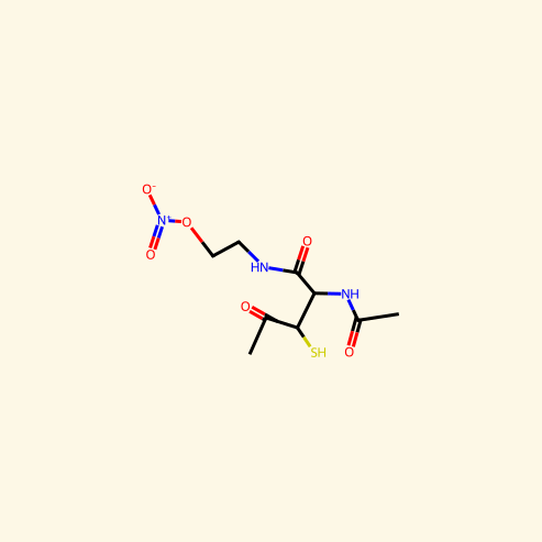 CC(=O)NC(C(=O)NCCO[N+](=O)[O-])C(S)C(C)=O